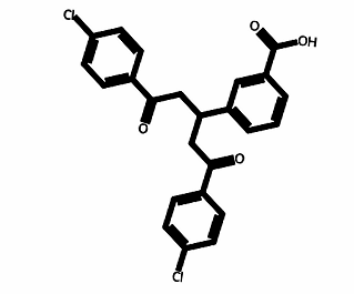 O=C(O)c1cccc(C(CC(=O)c2ccc(Cl)cc2)CC(=O)c2ccc(Cl)cc2)c1